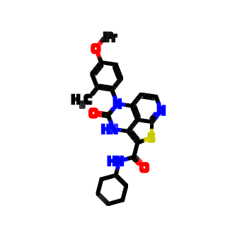 Cc1cc(OC(C)C)ccc1N1C(=O)Nc2c(C(=O)NC3CCCCC3)sc3nccc1c23